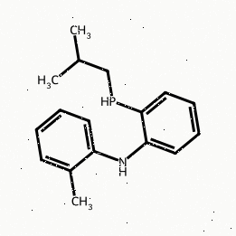 Cc1ccccc1Nc1ccccc1PCC(C)C